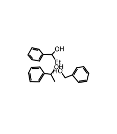 CC(O)c1ccccc1.CCC(O)c1ccccc1.OCc1ccccc1